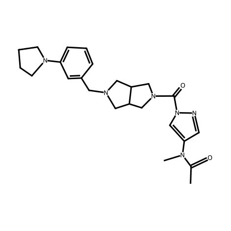 CC(=O)N(C)c1cnn(C(=O)N2CC3CN(Cc4cccc(N5CCCC5)c4)CC3C2)c1